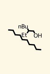 CCCCC(CC)CO.CCCCCCCCCC